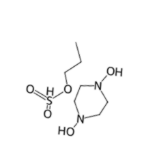 CCCO[SH](=O)=O.ON1CCN(O)CC1